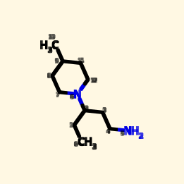 CCC(CCN)N1CCC(C)CC1